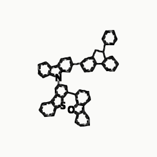 c1ccc(C2Cc3cc(-c4ccc5c6ccccc6n(-c6cc(-c7cccc8c7oc7ccccc78)c7sc8ccccc8c7c6)c5c4)ccc3-c3ccccc32)cc1